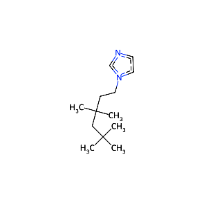 CC(C)(C)CC(C)(C)CCn1ccnc1